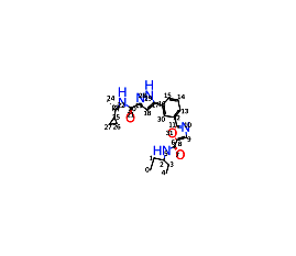 CCC(CC)NC(=O)c1cnc(-c2cccc(-c3cc(C(=O)N[C@@H](C)C4CC4)n[nH]3)c2)o1